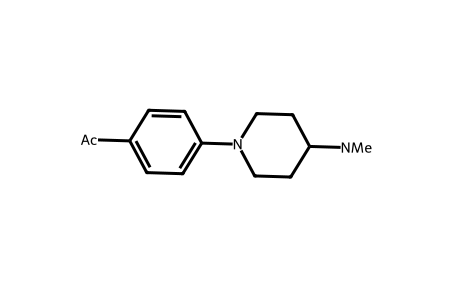 CNC1CCN(c2ccc(C(C)=O)cc2)CC1